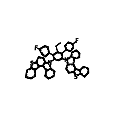 CCc1c(-c2ccc(F)cc2)c(-n2c3ccccc3c3c4c(ccc32)sc2ccccc24)cc(-n2c3ccccc3c3c4c(ccc32)sc2ccccc24)c1-c1ccc(F)cc1